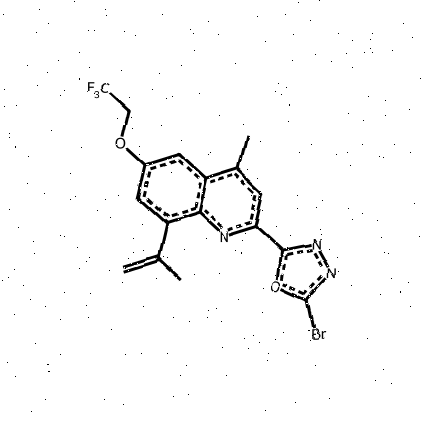 C=C(C)c1cc(OCC(F)(F)F)cc2c(C)cc(-c3nnc(Br)o3)nc12